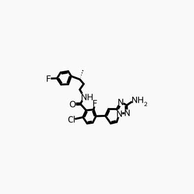 C[C@H](CCNC(=O)c1c(Cl)ccc(-c2ccn3nc(N)nc3c2)c1F)c1ccc(F)cc1